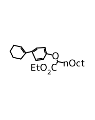 CCCCCCCCC(Oc1ccc(C2=CCCCC2)cc1)C(=O)OCC